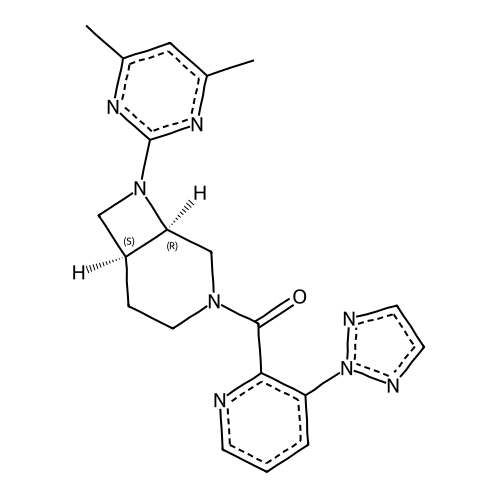 Cc1cc(C)nc(N2C[C@@H]3CCN(C(=O)c4ncccc4-n4nccn4)C[C@@H]32)n1